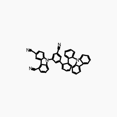 N#Cc1cc(-c2ccccc2-c2ccccc2-n2c3ccccc3c3ccccc32)cc(-n2c3ccc(C#N)cc3c3c(C#N)cccc32)c1